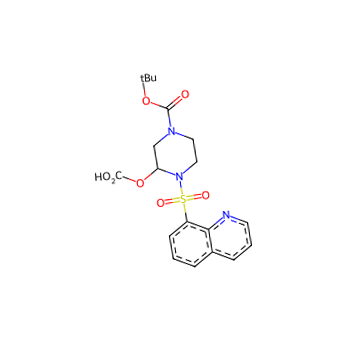 CC(C)(C)OC(=O)N1CCN(S(=O)(=O)c2cccc3cccnc23)C(OC(=O)O)C1